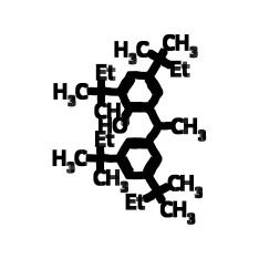 CCC(C)(C)c1[c]c(C(C)c2cc(C(C)(C)CC)cc(C(C)(C)CC)c2O)cc(C(C)(C)CC)c1